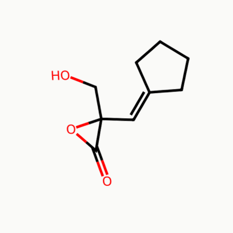 O=C1OC1(C=C1CCCC1)CO